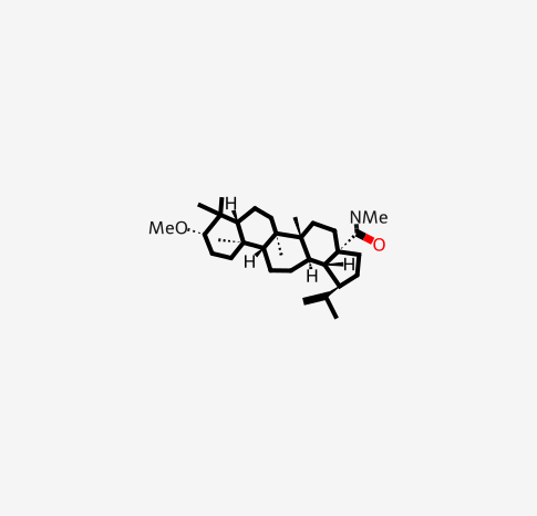 C=C(C)[C@@H]1CC[C@]2(C(=O)NC)CC[C@]3(C)[C@H](CC[C@@H]4[C@@]5(C)CC[C@H](OC)C(C)(C)[C@@H]5CC[C@]43C)[C@@H]12